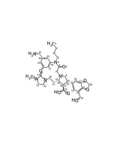 CCCCN(C(=O)CN1C[C@H](c2cc(CO)c3c(c2)OCO3)[C@@H](C(=O)O)[C@@H]1CCN1CCN(C)C1=O)c1cccc(CN)c1